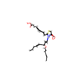 CCCCCOC(CCCCC)CCN1C(=O)CSC1CCCCCCC(=O)O